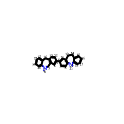 CN1Cc2cc(-c3ccc4c(c3)CCc3ccccc3N4C)ccc2Cc2ccccc21